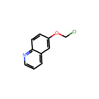 ClCOc1ccc2ncccc2c1